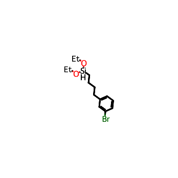 CCO[SiH](CCCCc1cccc(Br)c1)OCC